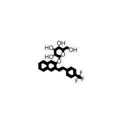 OCC1O[C@@H](Oc2cc3ccccc3cc2/C=C/c2ccc(C(F)(F)F)cc2)[C@H](O)[C@@H](O)[C@@H]1O